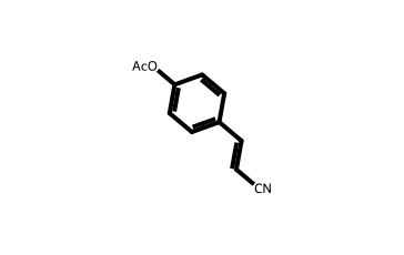 CC(=O)Oc1ccc(C=CC#N)cc1